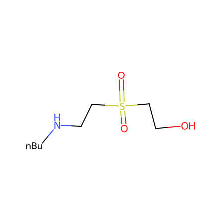 CCCCNCCS(=O)(=O)CCO